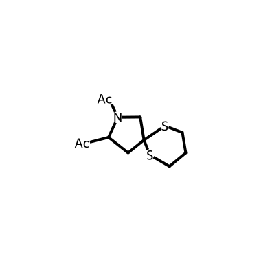 CC(=O)C1CC2(CN1C(C)=O)SCCCS2